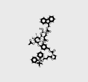 CC(=O)O[C@H]1[C@H](Oc2ccc(COC(=O)N3CCOC3CCCO[Si](c3ccccc3)(c3ccccc3)C(C)(C)C)cc2NC(=O)CCNC(=O)OCC2c3ccccc3-c3ccccc32)O[C@H](COOO)[C@@H](C)[C@@H]1C